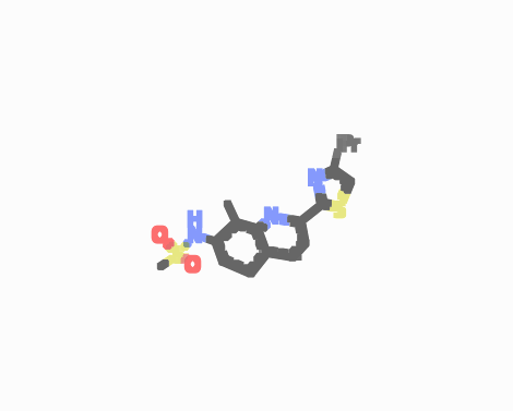 Cc1c(NS(C)(=O)=O)ccc2[c]cc(-c3nc(C(C)C)cs3)nc12